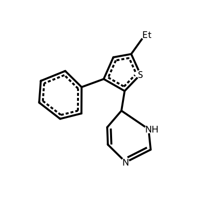 CCc1cc(-c2ccccc2)c(C2C=CN=CN2)s1